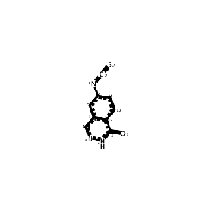 O=c1[nH]ncc2cc(N=C=S)ccc12